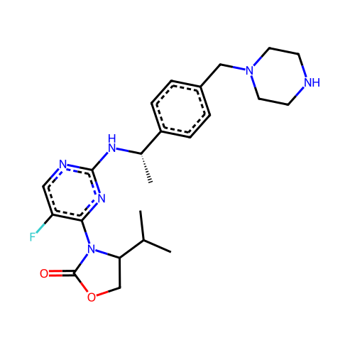 CC(C)C1COC(=O)N1c1nc(N[C@@H](C)c2ccc(CN3CCNCC3)cc2)ncc1F